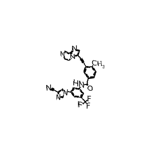 Cc1ccc(C(=O)Nc2cc(-n3cnc(C#N)c3)cc(C(F)(F)F)c2)cc1C#Cc1cnc2cnccn12